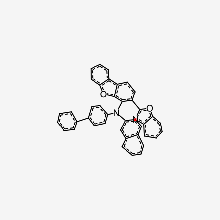 c1ccc(-c2ccc(N(c3ccc4ccccc4c3)c3c(-c4nc5ccccc5o4)ccc4c3oc3ccccc34)cc2)cc1